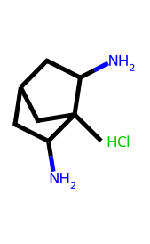 CC12CC(CC1N)CC2N.Cl